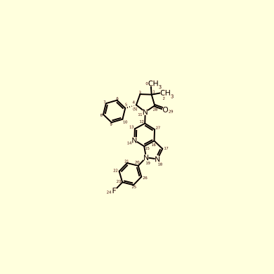 CC1(C)C[C@@H](c2ccccc2)N(c2cnc3c(cnn3-c3ccc(F)cc3)c2)C1=O